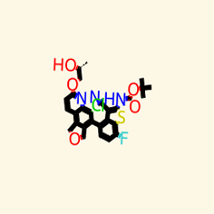 C[C@@H](O)COc1ccc2c3c(c(-c4ccc(F)c5sc(NC(=O)OC(C)(C)C)c(C#N)c45)c(Cl)c2n1)COC3